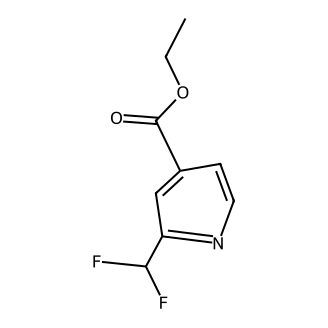 CCOC(=O)c1ccnc(C(F)F)c1